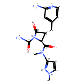 CN(C(=O)[C@@H]1[C@@H](Cc2ccnc(N)c2)C(=O)N1C(N)=O)c1ccn(C)n1